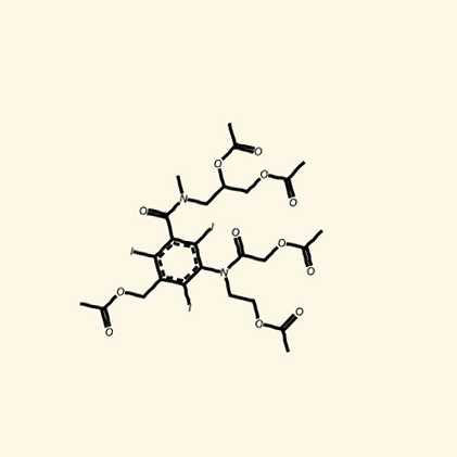 CC(=O)OCCN(C(=O)COC(C)=O)c1c(I)c(COC(C)=O)c(I)c(C(=O)N(C)CC(COC(C)=O)OC(C)=O)c1I